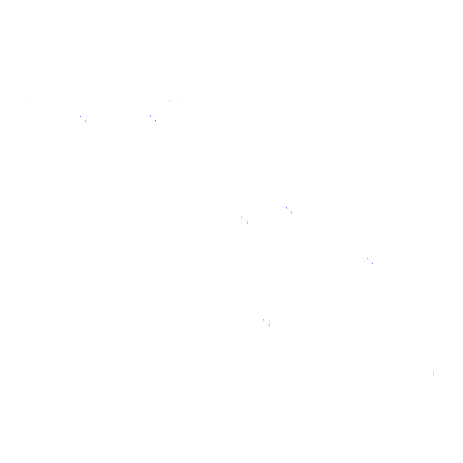 CN(CCN1CCOCC1)C(=O)c1cccc(C(=O)Nc2ccc(N3CCCCC3)cc2-c2cc(C(=O)NCc3ccc(C(C)(C)C)cc3)ccn2)c1